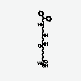 O=C(CCCCCCC(=O)NCCCNCCCCNCCC(c1ccccc1)c1ccccc1)NO